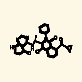 C[C@H](Nc1ncnc2[nH]ccc(=O)c12)c1c(Cl)c2cccc(C(=O)C3CC3)c2c(=O)n1-c1ccccc1